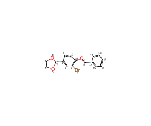 Brc1cc(C2OCCO2)ccc1OCc1ccccc1